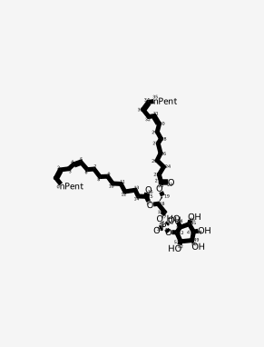 CCCCC/C=C\C/C=C\CCCCCCCCCC(=O)O[C@H](COC(=O)CCCCCCC/C=C\C/C=C\CCCCC)COP(=O)(O)OC1C(O)C(O)C(O)[C@@H](O)C1O